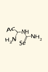 CC(=O)C(N)NC(N)=[Se]